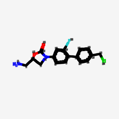 NCC1CN(c2ccc(-c3ccc(CCl)cc3)c(F)c2)C(=O)O1